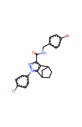 O=C(NCc1ccc(Br)cc1)c1nn(-c2ccc(Cl)cc2)c2c1C1CCC2C1